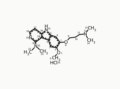 COc1cc2c(cc1OCCCN(C)C)[nH]c1ccnc(N(C)C)c12.Cl